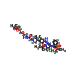 Cc1cc(Nc2ncc(Cl)c(Nc3ccccc3S(=O)(=O)C(C)C)n2)c(OC(C)C)cc1C1CCN(CC(=O)NCCOCCOS(C)(=O)=O)CC1